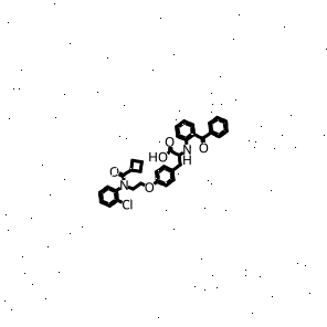 O=C(c1ccccc1)c1ccccc1NC(Cc1ccc(OCCN(C(=O)C2CCC2)c2ccccc2Cl)cc1)C(=O)O